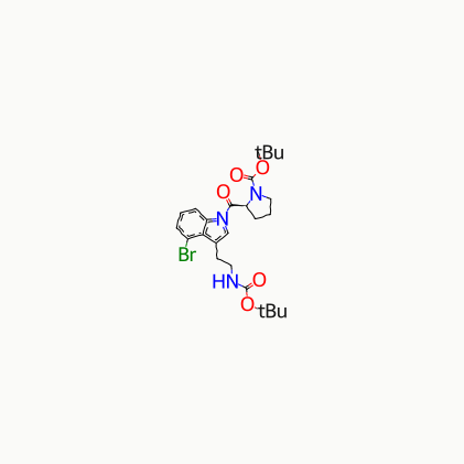 CC(C)(C)OC(=O)NCCc1cn(C(=O)[C@@H]2CCCN2C(=O)OC(C)(C)C)c2cccc(Br)c12